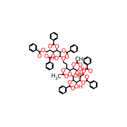 CC(=O)OC(CCOC(O)C(OC(=O)c1ccccc1)C(OC(=O)c1ccccc1)C(CCOC(=O)c1ccccc1)OC(=O)c1ccccc1)C(OC(O)C(OC(=O)c1ccccc1)C(O)C(CCOC(=O)c1ccccc1)OC(=O)c1ccccc1)C(OC(C)=O)C(O)O